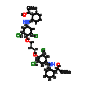 COC(=O)c1ccccc1Nc1cc(Cl)c(OCCCOc2c(Cl)cc(Nc3ccccc3C(=O)OC)cc2Cl)c(Cl)c1